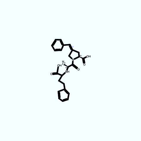 C[C@H](NC(CCc1ccccc1)C(=O)O)C(=O)N1C/C(=C\c2ccccc2)C[C@H]1C(=O)O